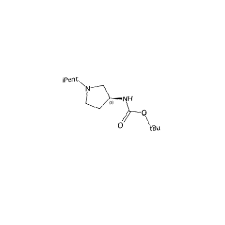 CCCC(C)N1CC[C@H](NC(=O)OC(C)(C)C)C1